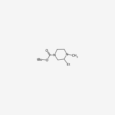 CCC1CN(C(=O)OC(C)(C)C)CCN1C